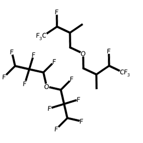 CC(COCC(C)C(F)C(F)(F)F)C(F)C(F)(F)F.FC(F)C(F)(F)C(F)OC(F)C(F)(F)C(F)F